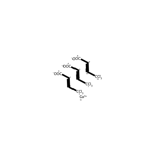 O=C([O-])/C=C/C(Cl)(Cl)Cl.O=C([O-])/C=C/C(Cl)(Cl)Cl.O=C([O-])/C=C/C(Cl)(Cl)Cl.[Ga+3]